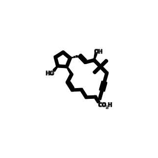 CC#CCC(C)(C)[C@H](O)/C=C/[C@H]1CC[C@H](O)[C@@H]1C/C=C\CCCC(=O)O